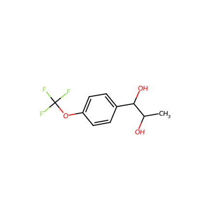 CC(O)C(O)c1ccc(OC(F)(F)F)cc1